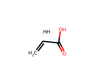 C=CC(=O)O.[HH]